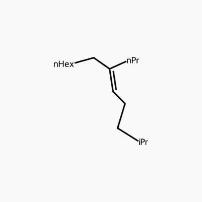 CCCCCCCC(=CCCC(C)C)CCC